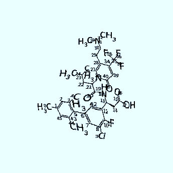 Cc1cc(C)c(-c2cc(Cl)c(F)c([C@H](CC(=O)O)NC(=O)C(CC(C)C)n3cc(CCN(C)C)c(C(F)(F)F)cc3=O)c2)c(C)c1